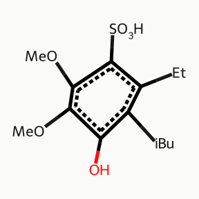 CCc1c(C(C)CC)c(O)c(OC)c(OC)c1S(=O)(=O)O